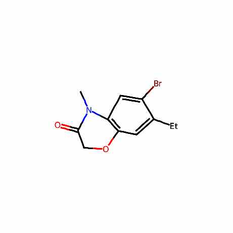 CCc1cc2c(cc1Br)N(C)C(=O)CO2